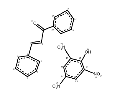 O=C(/C=C/c1ccccc1)c1ccccc1.O=[N+]([O-])c1cc([N+](=O)[O-])c(O)c([N+](=O)[O-])c1